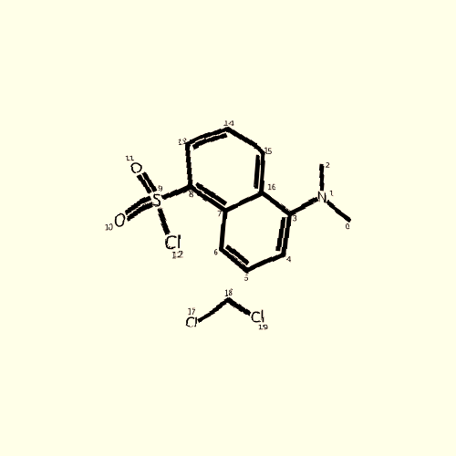 CN(C)c1cccc2c(S(=O)(=O)Cl)cccc12.ClCCl